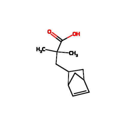 CC(C)(CC1CC2C=CC1C2)C(=O)O